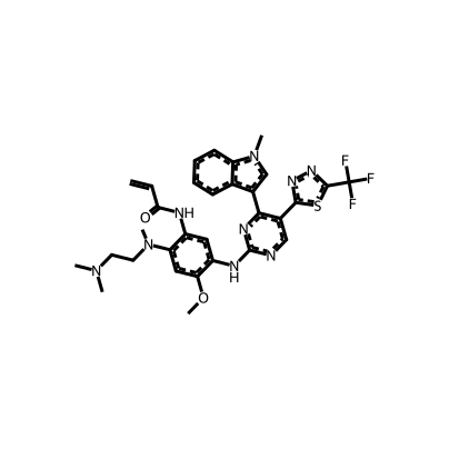 C=CC(=O)Nc1cc(Nc2ncc(-c3nnc(C(F)(F)F)s3)c(-c3cn(C)c4ccccc34)n2)c(OC)cc1N(C)CCN(C)C